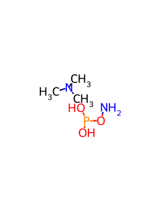 CN(C)C.NOP(O)O